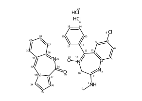 CNC1=Nc2ccc(Cl)cc2C(c2ccccc2)=[N+]([O-])C1.Cl.Cl.O=c1nc2ccccc2cn2cccc12